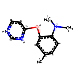 CN(C)c1ccc(C#N)cc1Oc1ccncn1